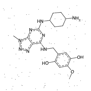 COc1cc(O)c(CNc2nc(NC3CCC(N)CC3)nc3c2nnn3C)cc1O